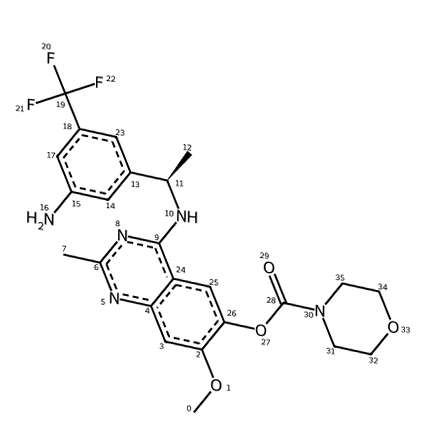 COc1cc2nc(C)nc(N[C@H](C)c3cc(N)cc(C(F)(F)F)c3)c2cc1OC(=O)N1CCOCC1